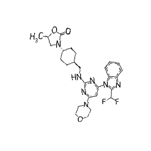 CC1CN([C@H]2CC[C@H](CNc3nc(N4CCOCC4)cc(-n4c(C(F)F)nc5ccccc54)n3)CC2)C(=O)O1